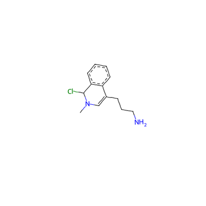 CN1C=C(CCCN)c2ccccc2C1Cl